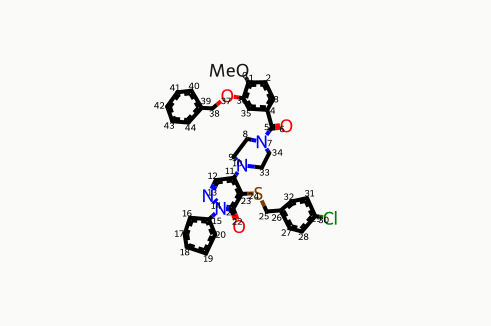 COc1ccc(C(=O)N2CCN(c3cnn(-c4ccccc4)c(=O)c3SCc3ccc(Cl)cc3)CC2)cc1OCc1ccccc1